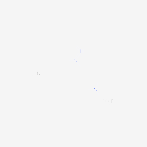 CCOC(=O)N1CCC(n2ncc3ccc([N+](=O)[O-])cc32)CC1